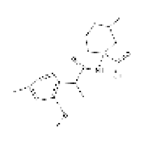 COc1cc(C)ccc1C(C)C(=O)NC1(C(=O)O)CCCC(C)C1